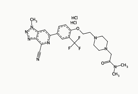 CN(C)C(=O)CN1CCN(CCOc2ccc(-c3cc4c(nnn4C)c(C#N)n3)cc2C(F)(F)F)CC1.Cl.Cl